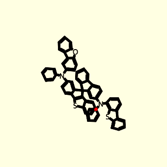 c1ccc(N(c2ccc3c(c2)C2(c4ccccc4-c4ccc(N(c5ccccc5)c5cccc6c5sc5ccccc56)cc42)c2c-3sc3ccccc23)c2ccc3oc4ccccc4c3c2)cc1